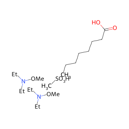 CCCCCCCC(=O)O.CCN(CC)OC.CCN(CC)OC.CS(=O)(=O)O